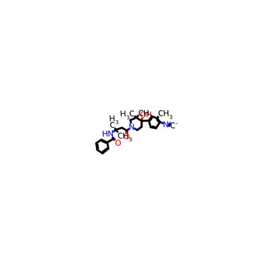 [C-]#[N+]c1ccc(C2(O)CCN(C(=O)CC(C)(C)NC(=O)c3ccccc3)CC2(C)C)cc1C